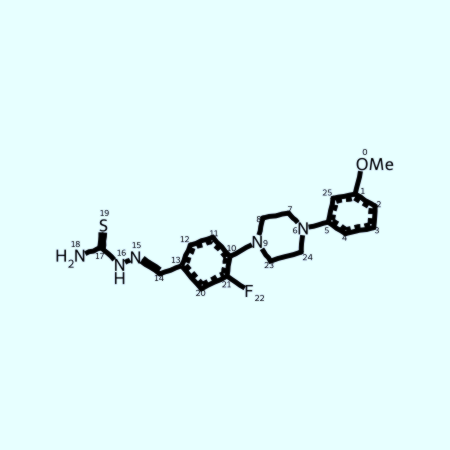 COc1cccc(N2CCN(c3ccc(C=NNC(N)=S)cc3F)CC2)c1